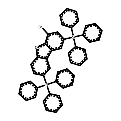 Brc1cc([Si](c2ccccc2)(c2ccccc2)c2ccccc2)cc2c1oc1ccc([Si](c3ccccc3)(c3ccccc3)c3ccccc3)cc12